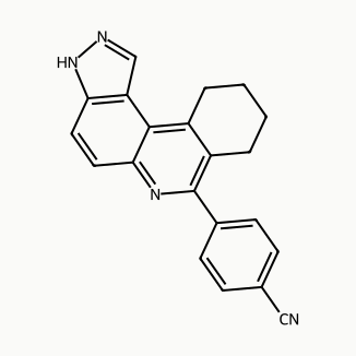 N#Cc1ccc(-c2nc3ccc4[nH]ncc4c3c3c2CCCC3)cc1